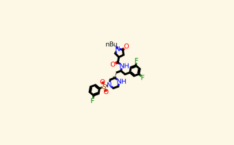 CCCCN1CC(C(=O)NC(Cc2cc(F)cc(F)c2)C[C@H]2CN(S(=O)(=O)c3cccc(F)c3)CCN2)CC1=O